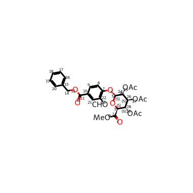 COC(=O)[C@H]1O[C@@H](Oc2ccc(C(=O)OCc3ccccc3)cc2C=O)[C@H](OC(C)=O)[C@@H](OC(C)=O)[C@@H]1OC(C)=O